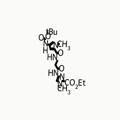 CCOC(=O)c1nc(NC(=O)CCNC(=O)c2cc(NC(=O)OC(C)(C)C)cn2C)cn1C